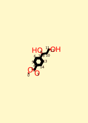 COC(=O)c1ccc(C(O)CCO)cc1